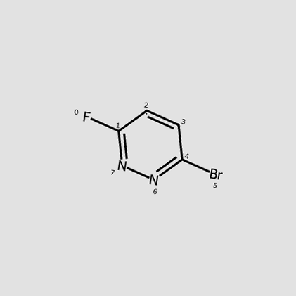 Fc1[c]cc(Br)nn1